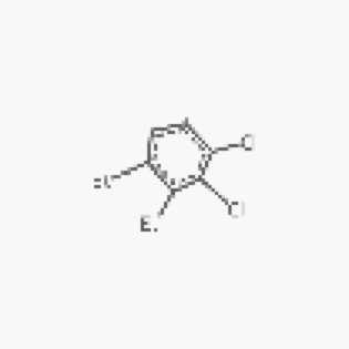 CCc1c[c]c(Cl)c(Cl)c1CC